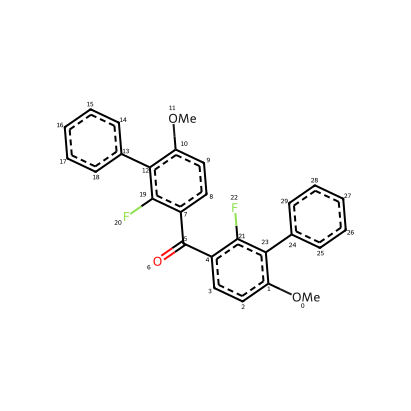 COc1ccc(C(=O)c2ccc(OC)c(-c3ccccc3)c2F)c(F)c1-c1ccccc1